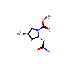 CN[C@@H]1C[C@@H](CC(N)=O)N(C(=O)OC(C)(C)C)C1